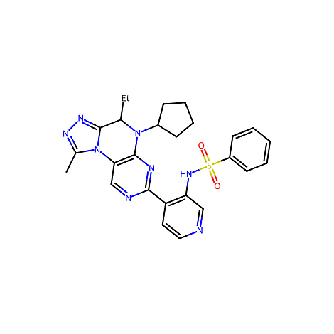 CCC1c2nnc(C)n2-c2cnc(-c3ccncc3NS(=O)(=O)c3ccccc3)nc2N1C1CCCC1